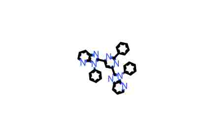 c1ccc(-c2nc(-c3nc4cccnc4n3-c3ccccc3)cc(-c3nc4cccnc4n3-c3ccccc3)n2)cc1